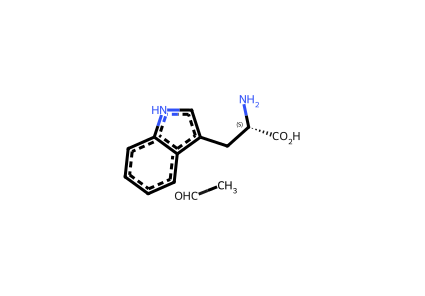 CC=O.N[C@@H](Cc1c[nH]c2ccccc12)C(=O)O